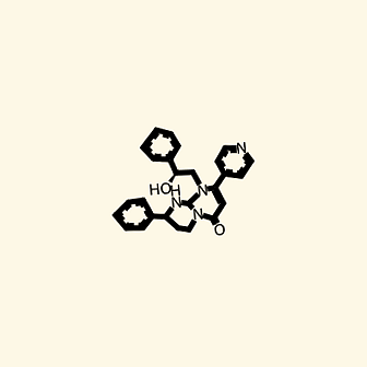 O=C1C=C(c2ccncc2)N(C[C@@H](O)c2ccccc2)C2NC(c3ccccc3)CCN12